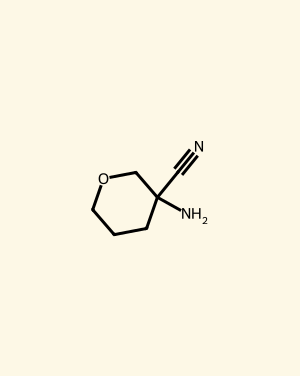 N#CC1(N)CCCOC1